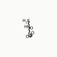 CCCCNC(=O)CCCN1C(=O)C=CC1=O